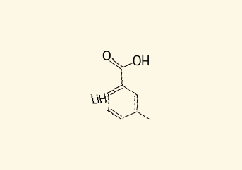 Cc1cccc(C(=O)O)c1.[LiH]